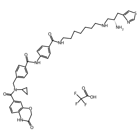 N[C@H](CNCCCCCCCNC(=O)c1ccc(NC(=O)c2ccc(CN(C(=O)c3ccc4c(c3)OCC(=O)N4)C3CC3)cc2)cc1)Cc1cscn1.O=C(O)C(F)(F)F